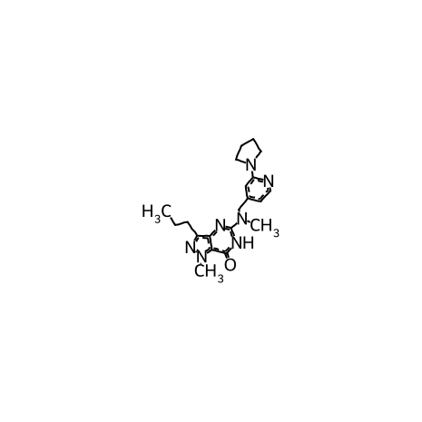 CCCc1nn(C)c2c(=O)[nH]c(N(C)Cc3ccnc(N4CCCC4)c3)nc12